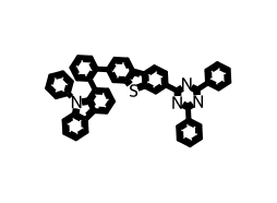 c1ccc(-c2nc(-c3ccccc3)nc(-c3ccc4c(c3)sc3cc(-c5ccccc5-c5cccc6c7ccccc7n(-c7ccccc7)c56)ccc34)n2)cc1